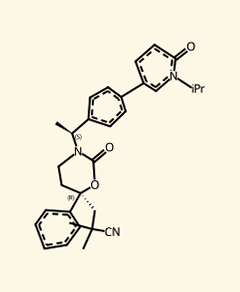 CC(C)n1cc(-c2ccc([C@H](C)N3CC[C@](CC(C)(C)C#N)(c4ccccc4)OC3=O)cc2)ccc1=O